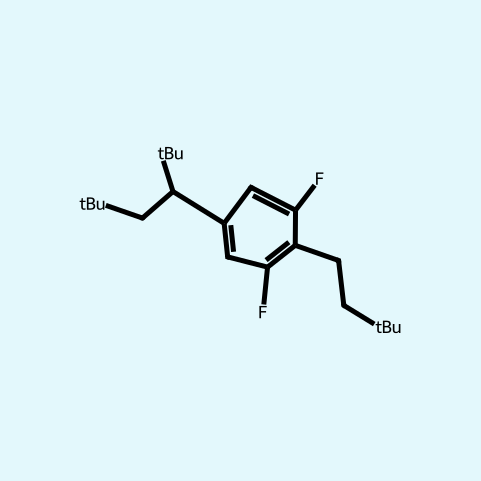 CC(C)(C)CCc1c(F)cc(C(CC(C)(C)C)C(C)(C)C)cc1F